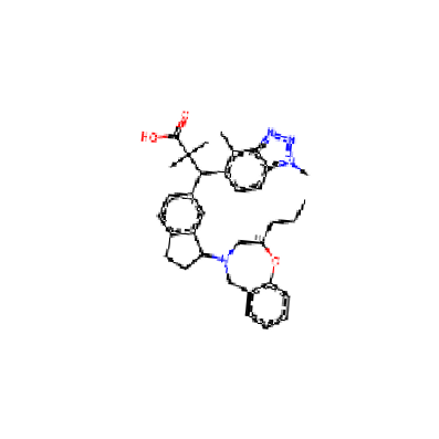 CCC[C@@H]1CN(C2CCc3ccc(C(c4ccc5c(nnn5C)c4C)C(C)(C)C(=O)O)cc32)Cc2ccccc2O1